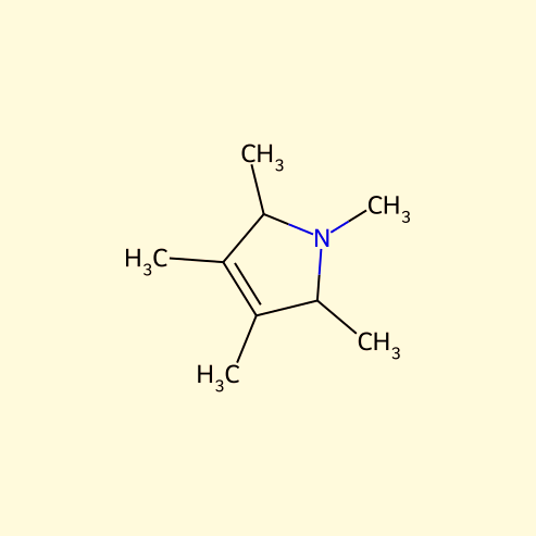 CC1=C(C)C(C)N(C)C1C